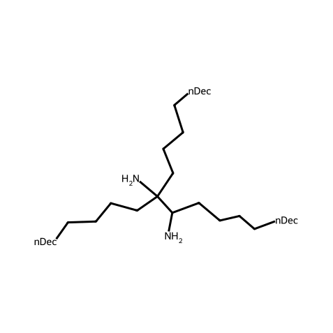 CCCCCCCCCCCCCCC(N)C(N)(CCCCCCCCCCCCCC)CCCCCCCCCCCCCC